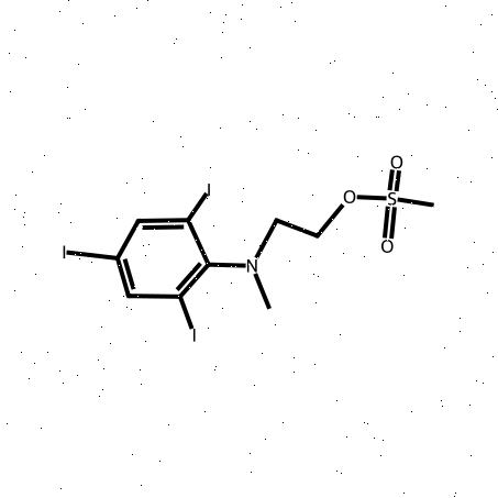 CN(CCOS(C)(=O)=O)c1c(I)cc(I)cc1I